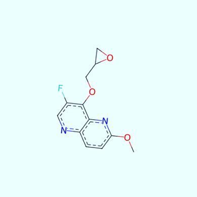 COc1ccc2ncc(F)c(OCC3CO3)c2n1